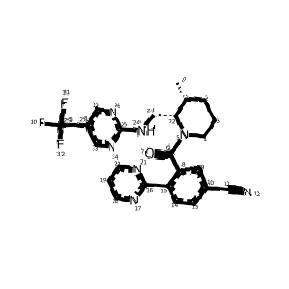 C[C@@H]1CCCN(C(=O)c2cc(C#N)ccc2-c2ncccn2)[C@@H]1CNc1ncc(C(F)(F)F)cn1